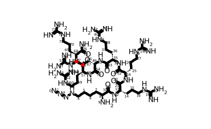 [N-]=[N+]=NNCCCC[C@H](N)C(=O)N[C@@H](CCCNC(=N)N)C(=O)N[C@@H](CCCNC(=N)N)C(=O)N[C@@H](CCCNC(=N)N)C(=O)N[C@@H](CCCNC(=N)N)C(=O)N[C@@H](CCCNC(=N)N)C(=O)N[C@@H](CCCNC(=N)N)C(N)=O